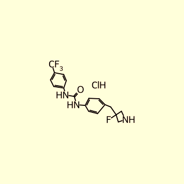 Cl.O=C(Nc1ccc(CC2(F)CNC2)cc1)Nc1ccc(C(F)(F)F)cc1